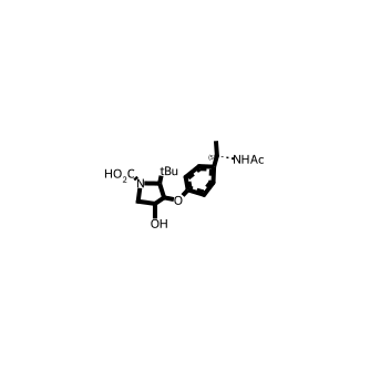 CC(=O)N[C@@H](C)c1ccc(OC2C(O)CN(C(=O)O)C2C(C)(C)C)cc1